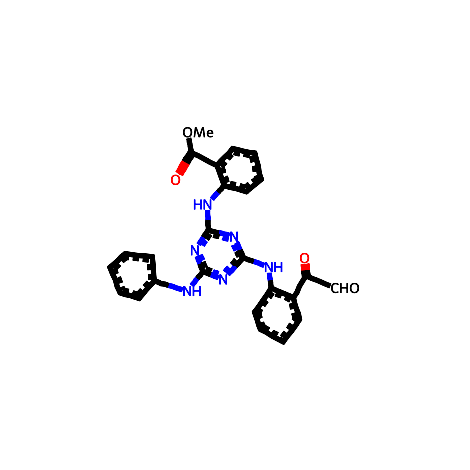 COC(=O)c1ccccc1Nc1nc(Nc2ccccc2)nc(Nc2ccccc2C(=O)C=O)n1